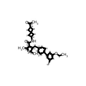 CCOc1cc(F)cc(-c2ccc(Cc3c(C)sc(C)c3C(=O)NC3CC4(C3)CC(C(C)=O)C4)cc2)c1